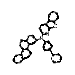 c1ccc(-c2ccc(N(c3ccc4ccc5c6ccccc6ccc5c4c3)c3ccc4c(n3)oc3ccccc34)cc2)cc1